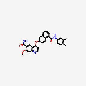 COc1cc2nccc(Oc3ccc4c(C(=O)Nc5ccc(C)c(C)c5)cccc4c3)c2cc1C(N)=O